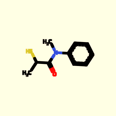 CC(S)C(=O)N(C)c1ccccc1